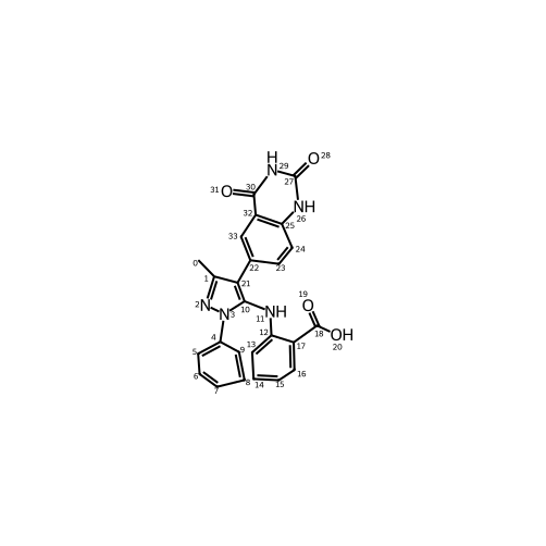 Cc1nn(-c2ccccc2)c(Nc2ccccc2C(=O)O)c1-c1ccc2[nH]c(=O)[nH]c(=O)c2c1